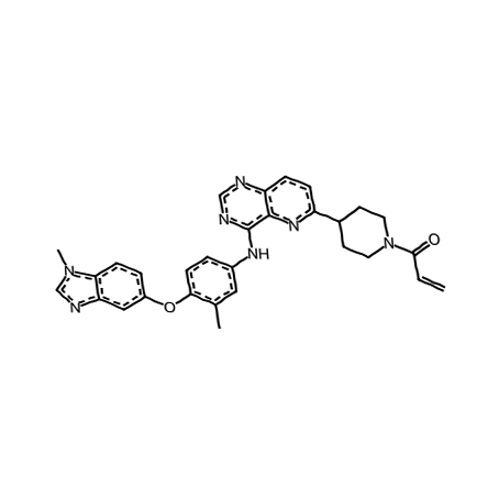 C=CC(=O)N1CCC(c2ccc3ncnc(Nc4ccc(Oc5ccc6c(c5)ncn6C)c(C)c4)c3n2)CC1